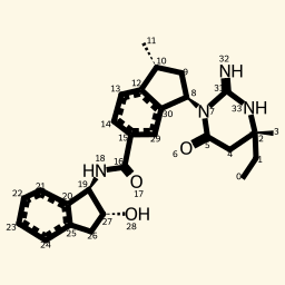 CC[C@]1(C)CC(=O)N([C@@H]2C[C@@H](C)c3ccc(C(=O)N[C@@H]4c5ccccc5C[C@H]4O)cc32)C(=N)N1